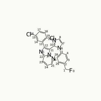 FCc1ccc(-n2ccnc2-c2c(-c3cc(Cl)ccc3Cl)nc3cccnn23)cc1